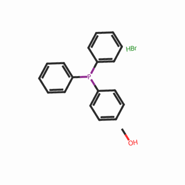 Br.CO.c1ccc(P(c2ccccc2)c2ccccc2)cc1